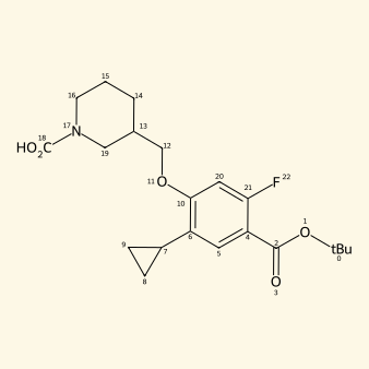 CC(C)(C)OC(=O)c1cc(C2CC2)c(OCC2CCCN(C(=O)O)C2)cc1F